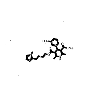 COC(=O)C1=C(C)NC(C)=C(C(=O)OC=CCCc2cccn2C)C1c1cccc([N+](=O)[O-])c1